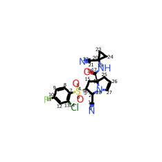 N#CC1[C@H](S(=O)(=O)c2ccc(F)cc2Cl)C[C@]2(C(=O)NC3(C#N)CC3)CC=CN12